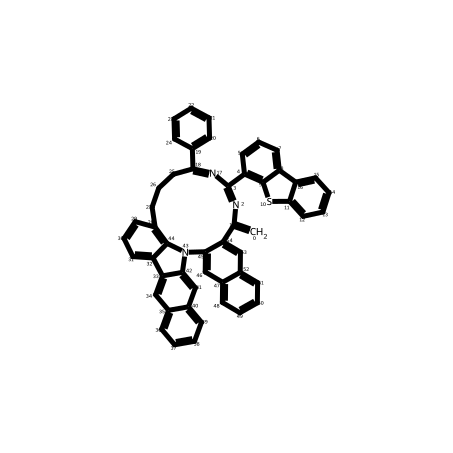 C=C1/N=C(c2cccc3c2sc2ccccc23)\N=C(\c2ccccc2)CCCc2cccc3c4cc5ccccc5cc4n(c23)-c2cc3ccccc3cc21